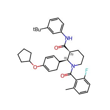 Cc1cccc(F)c1C(=O)N1CCC[C@H](C(=O)Nc2cccc(C(C)(C)C)c2)[C@@H]1C1C=CC(OC2CCCC2)=CC1